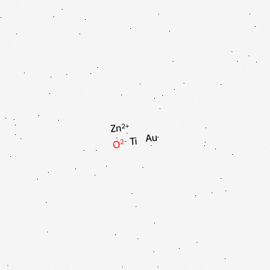 [Au].[O-2].[Ti].[Zn+2]